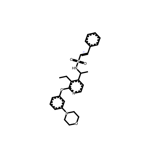 CCc1c(C(C)NS(=O)(=O)/C=C/c2ccccc2)ccnc1Oc1cccc(N2CCOCC2)c1